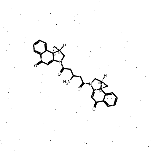 NC(CC(=O)N1C[C@H]2C[C@@]23C1=CC(=O)c1ccccc13)CC(=O)N1C[C@H]2C[C@@]23C1=CC(=O)c1ccccc13